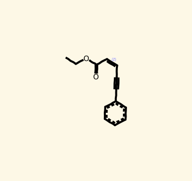 CCOC(=O)/C=C\C#Cc1ccccc1